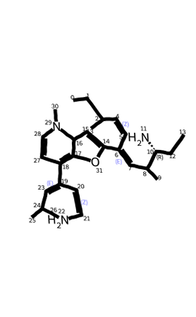 CCC(C)/C=C\C(=C/C(C)[C@H](N)CC)C1=CC2C(=C(C(/C=C\N)=C/C(C)C)C=CN2C)O1